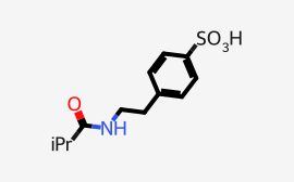 CC(C)C(=O)NCCc1ccc(S(=O)(=O)O)cc1